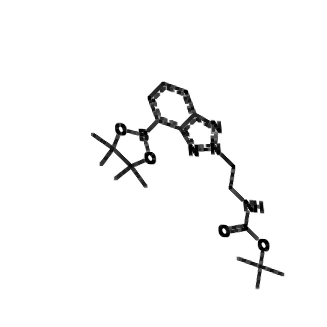 CC(C)(C)OC(=O)NCCn1nc2cccc(B3OC(C)(C)C(C)(C)O3)c2n1